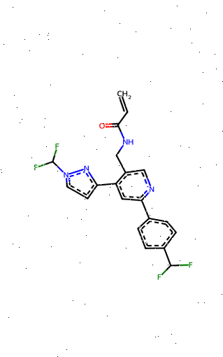 C=CC(=O)NCc1cnc(-c2ccc(C(F)F)cc2)cc1-c1ccn(C(F)F)n1